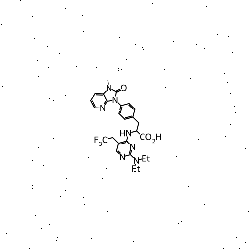 CCN(CC)c1ncc(CC(F)(F)F)c(NC(Cc2ccc(-n3c(=O)n(C)c4cccnc43)cc2)C(=O)O)n1